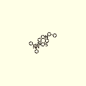 c1ccc(-c2cccc(-n3c4ccccc4c4c5c(ccc43)sc3ccc4c(c6ccccc6n4-c4cc(-c6ccccc6)nc(-c6ccccc6)n4)c35)c2)cc1